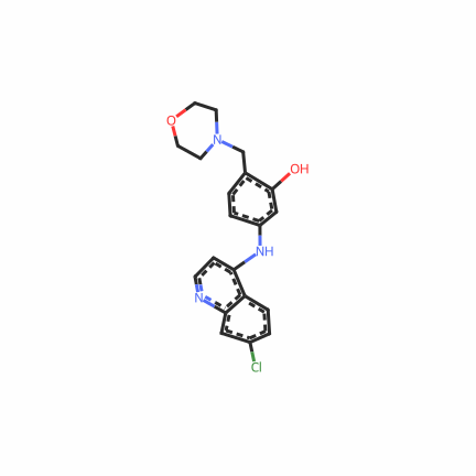 Oc1cc(Nc2ccnc3cc(Cl)ccc23)ccc1CN1CCOCC1